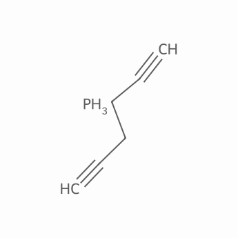 C#CCCC#C.P